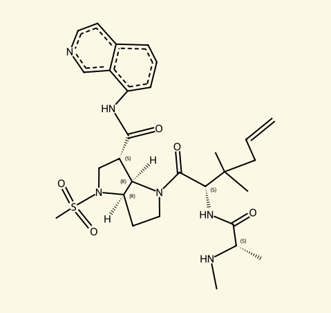 C=CCC(C)(C)[C@H](NC(=O)[C@H](C)NC)C(=O)N1CC[C@@H]2[C@H]1[C@@H](C(=O)Nc1cccc3ccncc13)CN2S(C)(=O)=O